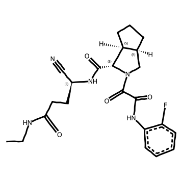 CCNC(=O)CC[C@@H](C#N)NC(=O)[C@@H]1[C@H]2CCC[C@H]2CN1C(=O)C(=O)Nc1ccccc1F